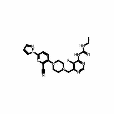 CCNC(=O)Nc1ncnc(CN2CCN(c3ccc(-n4cccn4)nc3C#N)CC2)c1F